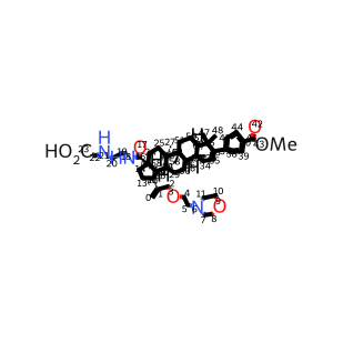 C=C(COCCN1CCOCC1)[C@@H]1CC[C@]2(C(=O)NCCNCC(=O)O)CC[C@]3(C)[C@H](CC[C@@H]4[C@@]5(C)CC=C(c6ccc(C(=O)OC)cc6)C(C)(C)[C@@H]5CC[C@]43C)[C@@H]12